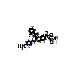 C=C/C=C\C(=C/C)CCN(CC1=CCC(C(=O)N(C)CC(O)O)C=C1)C1=NC(c2ccccc2Cl)CS1